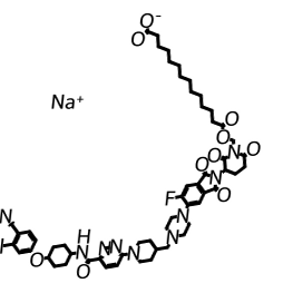 N#Cc1ccc(OC2CCC(NC(=O)c3ccc(N4CCC(CN5CCN(c6cc7c(cc6F)C(=O)N(C6CCC(=O)N(COC(=O)CCCCCCCCCCCCC(=O)[O-])C6=O)C7=O)CC5)CC4)nn3)CC2)cc1Cl.[Na+]